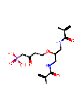 C=C(C)C(=O)NCC(CNC(=O)C(=C)C)OCCC(=O)CP(=O)(O)O